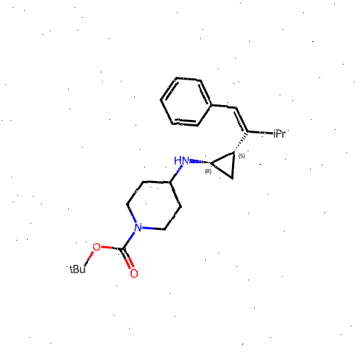 CC(C)C(=Cc1ccccc1)[C@@H]1C[C@H]1NC1CCN(C(=O)OC(C)(C)C)CC1